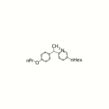 CCCCCCc1ccc(C(C)c2ccc(OCCC)cc2)nc1